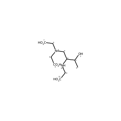 CC(O)C(CN(CC(=O)O)CC(=O)O)NCC(=O)O